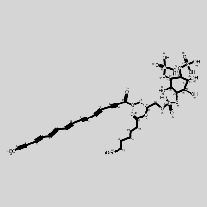 CC#CC#CC#CC#CC#CC#CC#CC(=O)OC[C@H](COP(=O)(O)OC1C(O)[C@@H](OP(=O)(O)O)C(OP(=O)(O)O)[C@@H](O)[C@H]1O)OC(=O)CCCCCCCCCCCCCCC